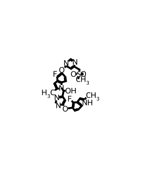 Cc1cc2c(F)c(Oc3cc(C(O)n4c(C)cc5c(F)c(Oc6cc(CS(C)(=O)=O)ncn6)ccc54)ncn3)ccc2[nH]1